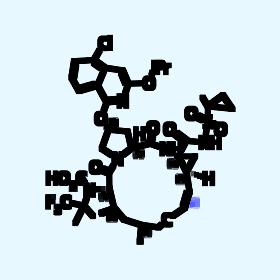 CC(C)Oc1cc2c(Cl)cccc2c(O[C@@H]2C[C@H]3C(=O)N[C@]4(C(=O)NS(=O)(=O)C5(C)CC5)C[C@H]4/C=C\CC[C@@H](C)C[C@@H](C)[C@H](N(C(=O)O)C(C)(C)C(F)(F)F)C(=O)N3C2)n1